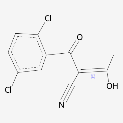 C/C(O)=C(/C#N)C(=O)c1cc(Cl)ccc1Cl